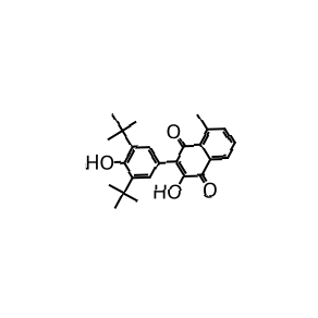 Cc1cccc2c1C(=O)C(c1cc(C(C)(C)C)c(O)c(C(C)(C)C)c1)=C(O)C2=O